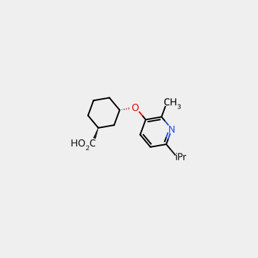 Cc1nc(C(C)C)ccc1O[C@H]1CCC[C@H](C(=O)O)C1